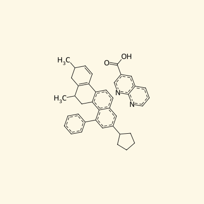 CC1C=CC2=C(C1)C(C)Cc1c2ccc2cc(C3CCCC3)cc(-c3ccccc3)c12.O=C(O)c1cnc2ncccc2c1